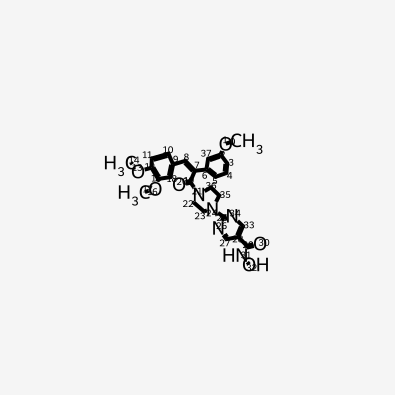 COc1cccc(C(=Cc2ccc(OC)c(OC)c2)C(=O)N2CCN(c3ncc(C(=O)NO)cn3)CC2)c1